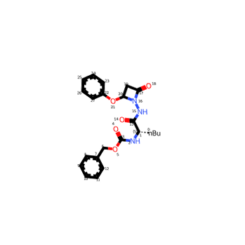 CCCC[C@H](NC(=O)OCc1ccccc1)C(=O)NN1C(=O)CC1Oc1ccccc1